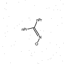 CCCC(CCC)=N[O]